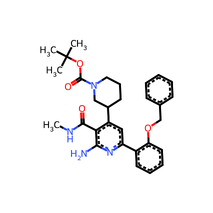 CNC(=O)c1c(C2CCCN(C(=O)OC(C)(C)C)C2)cc(-c2ccccc2OCc2ccccc2)nc1N